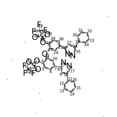 O=S(=O)(Oc1ccc(-c2cc(-c3ccccc3)cnn2)cc1Oc1cc(-c2cc(-c3ccccc3)cnn2)ccc1OS(=O)(=O)C(F)(F)F)C(F)(F)F